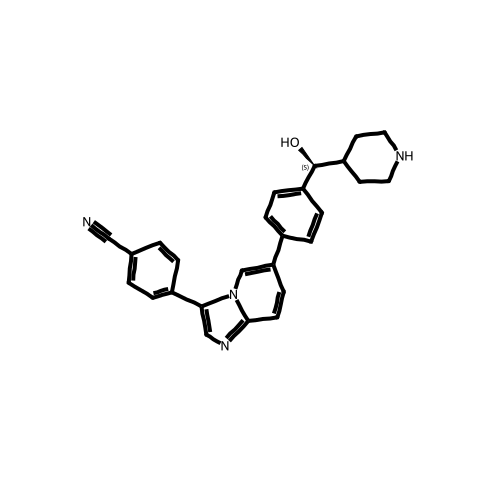 N#Cc1ccc(-c2cnc3ccc(-c4ccc([C@@H](O)C5CCNCC5)cc4)cn23)cc1